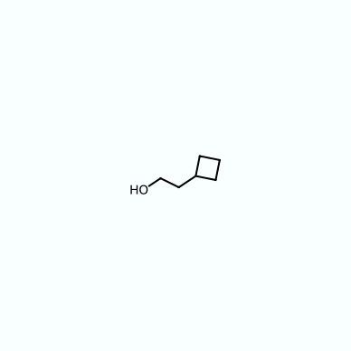 OCCC1CCC1